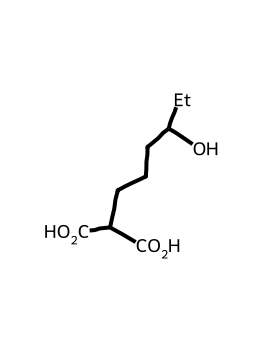 CCC(O)CCCC(C(=O)O)C(=O)O